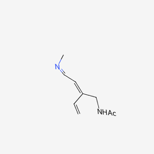 C=C/C(=C\C=N/C)CNC(C)=O